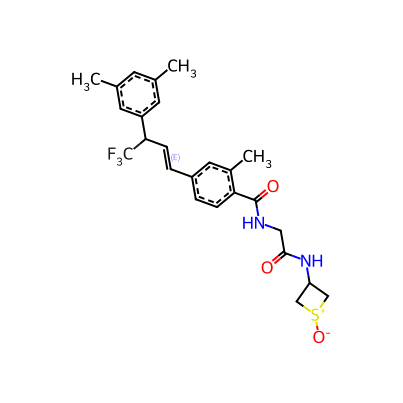 Cc1cc(C)cc(C(/C=C/c2ccc(C(=O)NCC(=O)NC3C[S+]([O-])C3)c(C)c2)C(F)(F)F)c1